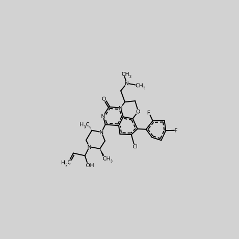 C=CC(O)N1C[C@H](C)N(c2nc(=O)n3c4c(c(-c5ccc(F)cc5F)c(Cl)cc24)OCC3CN(C)C)C[C@H]1C